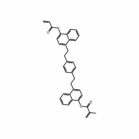 C=CC(=O)Oc1ccc(CCc2ccc(CCc3ccc(OC(=O)C(=C)C)c4ccccc34)cc2)c2ccccc12